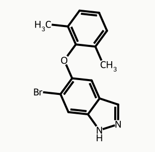 Cc1cccc(C)c1Oc1cc2cn[nH]c2cc1Br